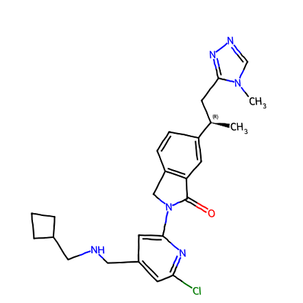 C[C@H](Cc1nncn1C)c1ccc2c(c1)C(=O)N(c1cc(CNCC3CCC3)cc(Cl)n1)C2